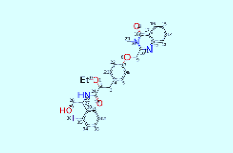 CCOC(Cc1ccc(OCc2nc3ccccc3c(=O)n2C)cc1)C(=O)NC(CO)c1ccccc1I